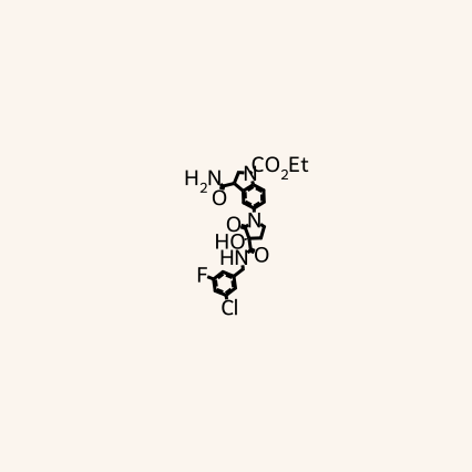 CCOC(=O)N1CC(C(N)=O)c2cc(N3CC[C@@](O)(C(=O)NCc4cc(F)cc(Cl)c4)C3=O)ccc21